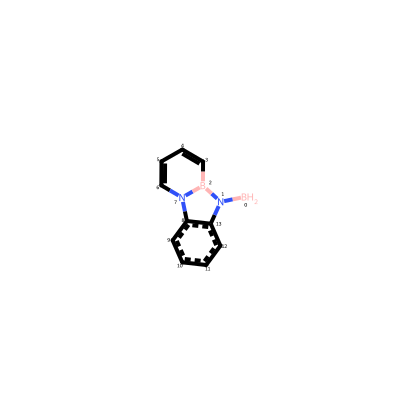 BN1B2C=CC=CN2c2ccccc21